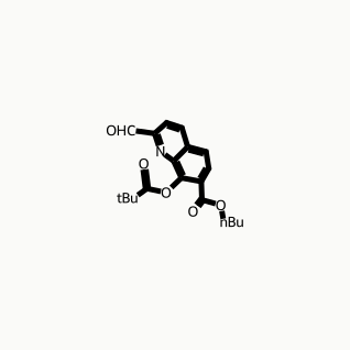 CCCCOC(=O)c1ccc2ccc(C=O)nc2c1OC(=O)C(C)(C)C